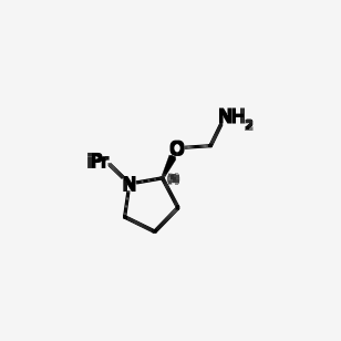 CC(C)N1CCC[C@@H]1OCN